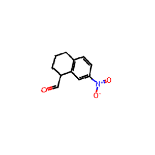 O=CC1CCCc2ccc([N+](=O)[O-])cc21